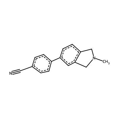 CN1Cc2ccc(-c3ccc(C#N)cc3)cc2C1